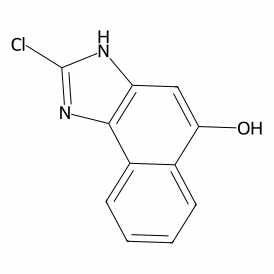 Oc1cc2[nH]c(Cl)nc2c2ccccc12